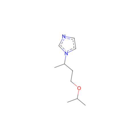 CC(C)OCCC(C)n1ccnc1